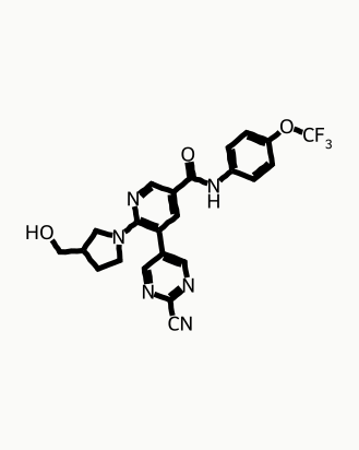 N#Cc1ncc(-c2cc(C(=O)Nc3ccc(OC(F)(F)F)cc3)cnc2N2CCC(CO)C2)cn1